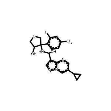 OC(NC1(c2ccc(C(F)(F)F)cc2F)COCC1O)c1cnn2cc(C3CC3)cnc12